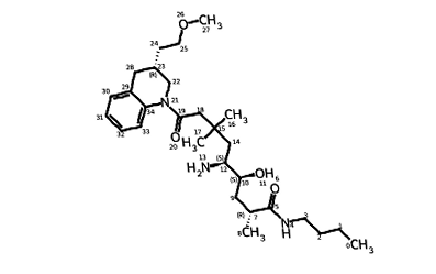 CCCCNC(=O)[C@H](C)C[C@H](O)[C@@H](N)CC(C)(C)CC(=O)N1C[C@@H](CCOC)Cc2ccccc21